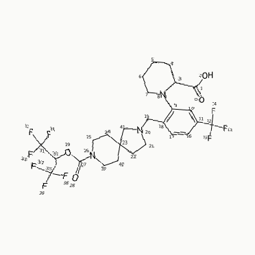 O=C(O)C1CCCCN1c1cc(C(F)(F)F)ccc1CN1CCC2(CCN(C(=O)OC(C(F)(F)F)C(F)(F)F)CC2)C1